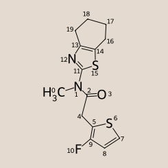 CN(C(=O)Cc1sccc1F)c1nc2c(s1)CCCC2